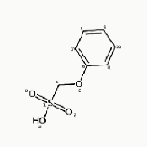 O=S(=O)(O)COc1ccccc1